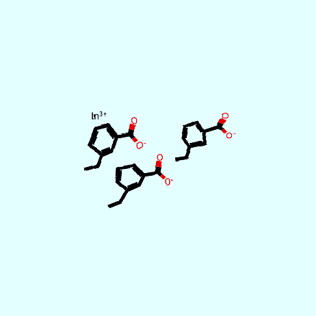 CCc1cccc(C(=O)[O-])c1.CCc1cccc(C(=O)[O-])c1.CCc1cccc(C(=O)[O-])c1.[In+3]